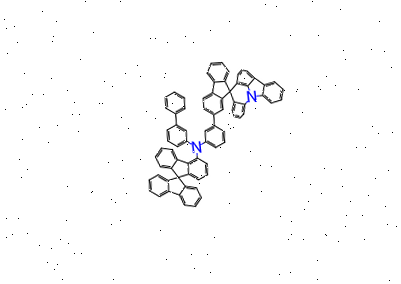 c1ccc(-c2cccc(N(c3cccc(-c4ccc5c(c4)C4(c6ccccc6-5)c5ccccc5-n5c6ccccc6c6cccc4c65)c3)c3cccc4c3-c3ccccc3C43c4ccccc4-c4ccccc43)c2)cc1